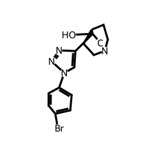 OC1(c2cn(-c3ccc(Br)cc3)nn2)CN2CCC1CC2